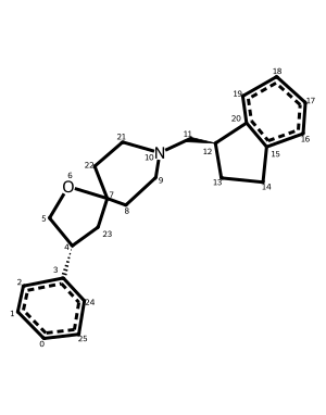 c1ccc([C@@H]2COC3(CCN(C[C@@H]4CCc5ccccc54)CC3)C2)cc1